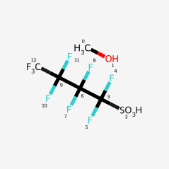 CO.O=S(=O)(O)C(F)(F)C(F)(F)C(F)(F)C(F)(F)F